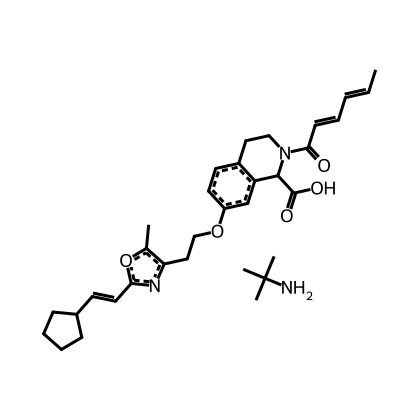 CC(C)(C)N.CC=CC=CC(=O)N1CCc2ccc(OCCc3nc(/C=C/C4CCCC4)oc3C)cc2C1C(=O)O